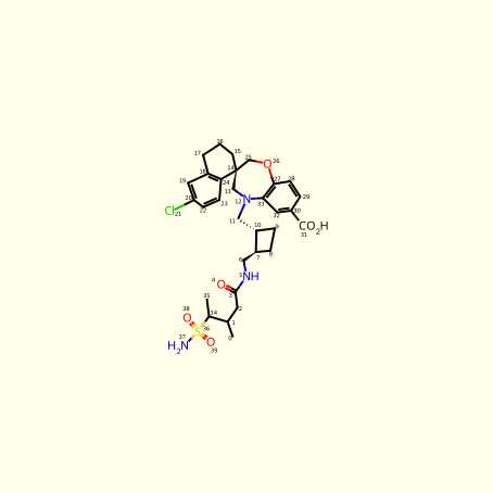 CC(CC(=O)NC[C@@H]1CC[C@H]1CN1C[C@@]2(CCCc3cc(Cl)ccc32)COc2ccc(C(=O)O)cc21)C(C)S(N)(=O)=O